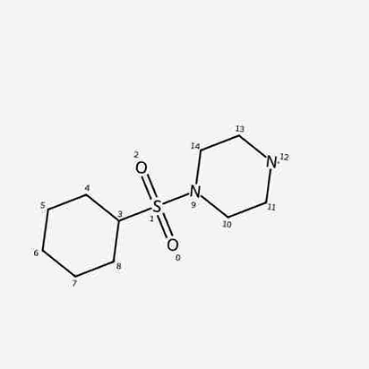 O=S(=O)(C1CCCCC1)N1CC[N]CC1